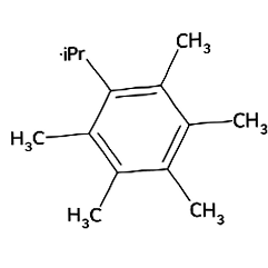 C[C](C)c1c(C)c(C)c(C)c(C)c1C